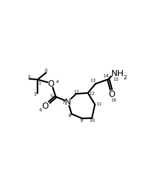 CC(C)(C)OC(=O)N1CCCCC(CC(N)=O)C1